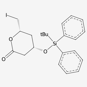 CC(C)(C)[Si](O[C@@H]1CC(=O)O[C@H](CI)C1)(c1ccccc1)c1ccccc1